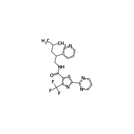 CC(C)CC(CNC(=O)c1sc(-c2ncccn2)nc1C(F)(F)F)c1cccnc1